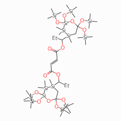 CCC(OC(=O)C=CC(=O)OC(CC)[Si]1(C)CC(O[Si](C)(C)C)(O[Si](C)(C)C)O[Si](O[Si](C)(C)C)(O[Si](C)(C)C)[Si]1(C)C)[Si]1(C)CC(O[Si](C)(C)C)(O[Si](C)(C)C)O[Si](O[Si](C)(C)C)(O[Si](C)(C)C)[Si]1(C)C